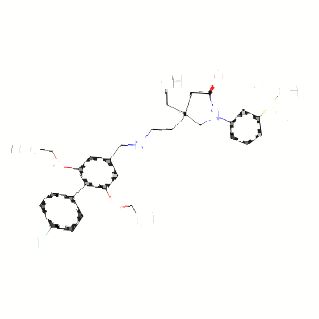 CCOc1cc(CNCCC2(CC)CC(=O)N(c3cccc(S(C)(=O)=O)c3)C2)cc(OCC)c1-c1ccc(F)cc1